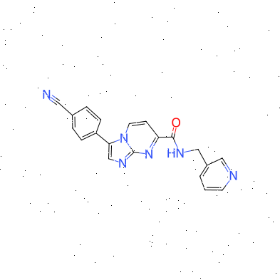 N#Cc1ccc(-c2cnc3nc(C(=O)NCc4cccnc4)ccn23)cc1